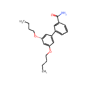 CCCCOc1cc(OCCCC)cc(-c2cccc(C(N)=O)c2)c1